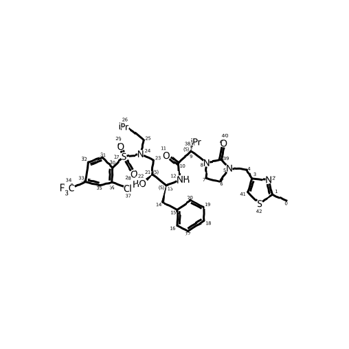 Cc1nc(CN2CCN([C@H](C(=O)N[C@@H](Cc3ccccc3)[C@@H](O)CN(CC(C)C)S(=O)(=O)c3ccc(C(F)(F)F)cc3Cl)C(C)C)C2=O)cs1